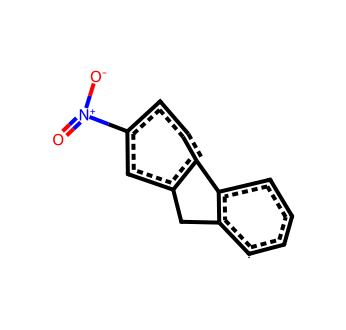 O=[N+]([O-])c1ccc2c(c1)Cc1[c]cccc1-2